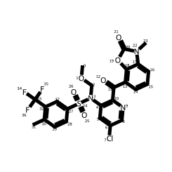 COCN(c1cc(Cl)cnc1C(=O)c1cccc2c1oc(=O)n2C)S(=O)(=O)c1ccc(C)c(C(F)(F)F)c1